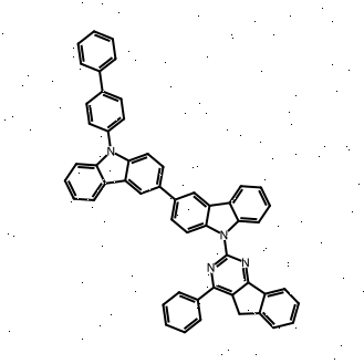 c1ccc(-c2ccc(-n3c4ccccc4c4cc(-c5ccc6c(c5)c5ccccc5n6-c5nc(-c6ccccc6)c6c(n5)-c5ccccc5C6)ccc43)cc2)cc1